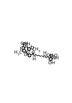 COc1cccc(Nc2c(C(N)=O)cnc3c(C)cc(S(=O)(=O)c4cccc(C(=O)NCCCCCCNC[C@H](O)c5cc(O)cc6c5OCC(=O)N6)c4)cc23)c1